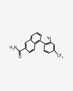 [2H]c1cc(C(F)(F)F)ccc1-c1cccc2cc(C(N)=O)ccc12